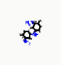 CC1CCC(NC2CCC(C)C(N)C2)CC1N